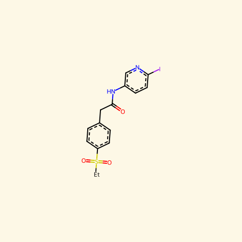 CCS(=O)(=O)c1ccc(CC(=O)Nc2ccc(I)nc2)cc1